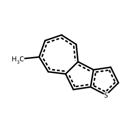 Cc1cccc2c3ccsc3cc-2c1